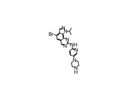 CC(C)n1ncc2c(Br)cc3cnc(Nc4ccc(N5CCNCC5)cn4)nc3c21